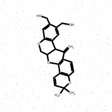 C=C1c2ccc3c(c2OC2COc4cc(CO)c(CO)cc4C12)C=CC(C)(C)O3